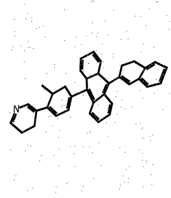 CC1CC(C2=c3ccccc3=C(C3=Cc4ccccc4CC3)C3C=CC=CC23)=CC=C1C1=CN=CCC1